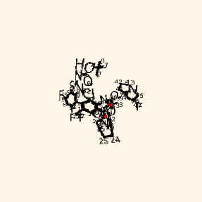 CC(C)(C)OC(=O)Nc1nc2c(-c3c(C(F)(F)F)cc4c(N5CC6CCC(C5)N6C(=O)OC(C)(C)C)nc(OC[C@@]56CCCN5C[C@H](F)C6)nc4c3Cl)ccc(F)c2s1